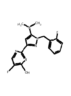 CN(C)c1cc(-c2ncc(F)c(O)n2)nn1Cc1ccccc1F